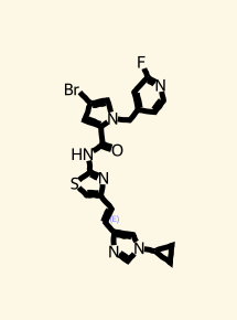 O=C(Nc1nc(/C=C/c2cn(C3CC3)cn2)cs1)c1cc(Br)cn1Cc1ccnc(F)c1